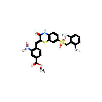 COC(=O)c1ccc(/C=C2\Sc3cc(S(=O)(=O)Cc4c(C)cccc4C)ccc3NC2=O)c([N+](=O)[O-])c1